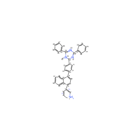 C/C=C\C(=C/N)c1ccc(-c2ccc(C3N=C(c4ccccc4)N=C(c4ccccc4)N3C)cc2)c2ccccc12